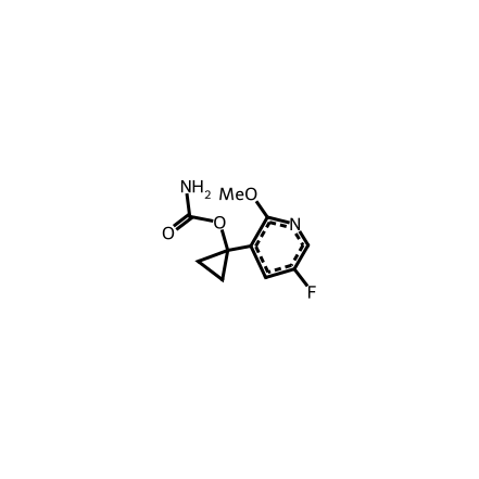 COc1ncc(F)cc1C1(OC(N)=O)CC1